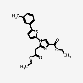 CCOC(=O)Cc1nc(C(=O)OCC)cn1-c1ccc(-c2cccc(C)c2)s1